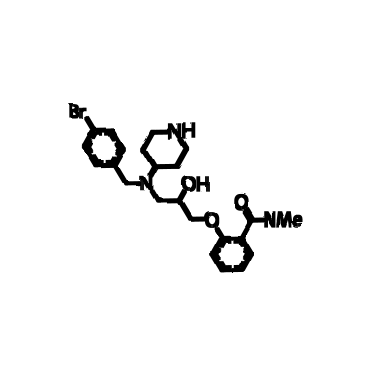 CNC(=O)c1ccccc1OCC(O)CN(Cc1ccc(Br)cc1)C1CCNCC1